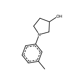 Cc1[c]ccc(N2CCC(O)C2)c1